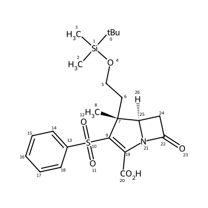 CC(C)(C)[Si](C)(C)OCC[C@@]1(C)C(S(=O)(=O)c2ccccc2)=C(C(=O)O)N2C(=O)C[C@@H]21